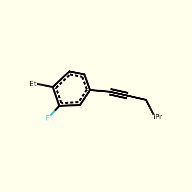 CCc1ccc(C#CCC(C)C)cc1F